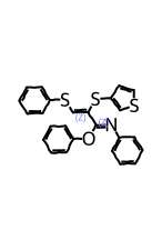 C(/Sc1ccccc1)=C(Sc1ccsc1)\C(=N\c1ccccc1)Oc1ccccc1